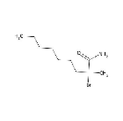 CCCCCCCC(C)(Br)C(N)=O